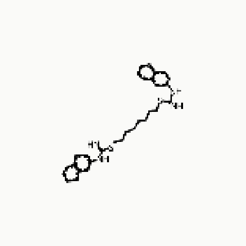 N=C(Nc1ccc2ccccc2c1)SCCCCCCCCSC(=N)Nc1ccc2ccccc2c1